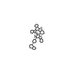 c1ccc2c(-c3ccc(-c4nc(-n5c6ccccc6c6c7ccccc7c7sc8ccccc8c7c65)nc5sc6ccccc6c45)cc3)cccc2c1